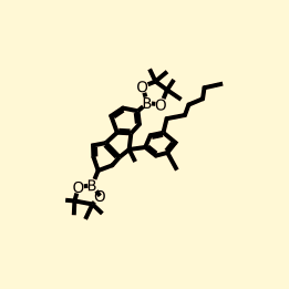 CCCCCCc1cc(C)cc(C2(C)C3=C(C=CC(B4OC(C)(C)C(C)(C)O4)C3)c3ccc(B4OC(C)(C)C(C)(C)O4)cc32)c1